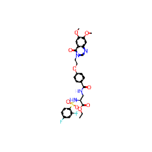 CCOC(=O)C(CNC(=O)c1ccc(OCCn2cnc3cc(OC)c(OC)cc3c2=O)cc1)NS(=O)(=O)c1ccc(F)cc1F